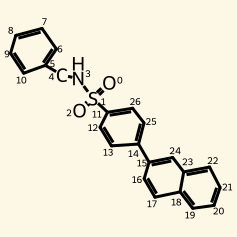 O=S(=O)(NCc1ccccc1)c1ccc(-c2ccc3ccccc3c2)cc1